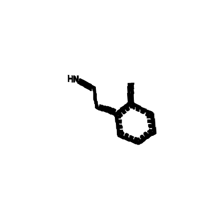 C=c1cccc/c1=C/C=N